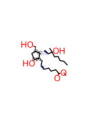 CCCCCC(C)(O)/C=C/[C@H]1[C@H](CO)C[C@H](O)[C@@H]1C/C=C\CCCC(=O)OC